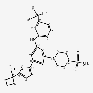 CS(=O)(=O)N1CCN(c2cc(Nc3nccc(C(F)(F)F)n3)cc(-c3cnc(C4(O)CCC4)s3)c2)CC1